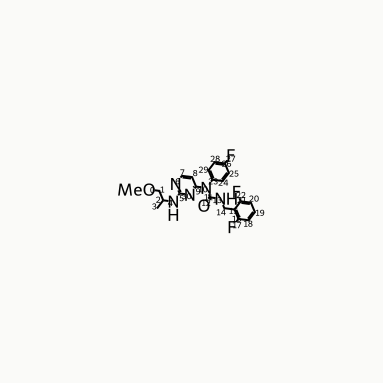 COCC(C)Nc1nccc(N(C(=O)NCc2c(F)cccc2F)c2ccc(F)cc2)n1